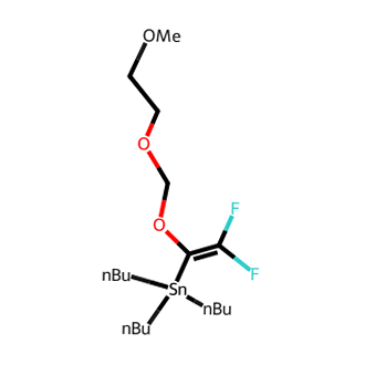 CCC[CH2][Sn]([CH2]CCC)([CH2]CCC)[C](OCOCCOC)=C(F)F